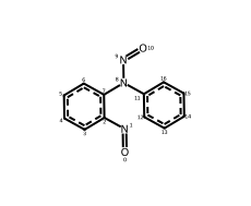 O=Nc1ccccc1N(N=O)c1ccccc1